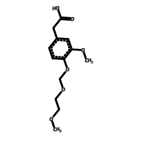 COCCOCOc1ccc(CC(=O)O)cc1OC